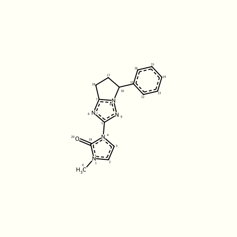 Cn1ccn(-c2nc3n(n2)C(c2ccccc2)CC3)c1=O